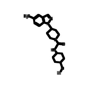 CCOC1CCC(NC(=O)N2CCC(n3ncc4cc(C)ccc43)CC2)CC1